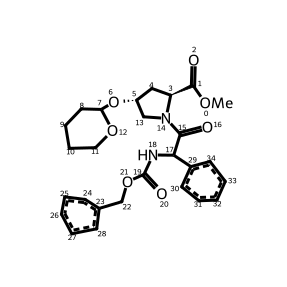 COC(=O)[C@@H]1C[C@@H](OC2CCCCO2)CN1C(=O)C(NC(=O)OCc1ccccc1)c1ccccc1